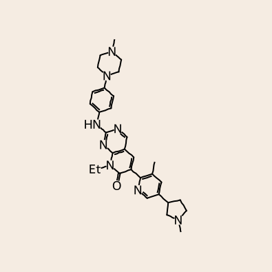 CCn1c(=O)c(-c2ncc(C3CCN(C)C3)cc2C)cc2cnc(Nc3ccc(N4CCN(C)CC4)cc3)nc21